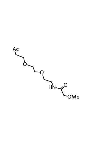 COCC(=O)NCCOCCOCCC(C)=O